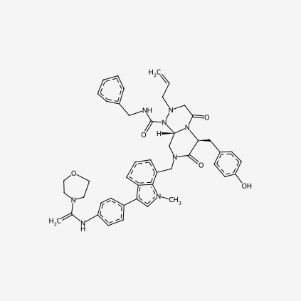 C=CCN1CC(=O)N2[C@@H](Cc3ccc(O)cc3)C(=O)N(Cc3cccc4c(-c5ccc(NC(=C)N6CCOCC6)cc5)cn(C)c34)C[C@@H]2N1C(=O)NCc1ccccc1